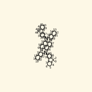 CC1(C)c2ccccc2-c2cc(N(c3ccc4ccccc4c3)c3cc4cccc5c(N(c6ccc7c(c6)-c6ccccc6C7(C)C)c6ccc7ccccc7c6)cc6cccc3c6c45)ccc21